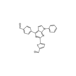 O=Cc1ccc(-c2nc(-c3ccc(C=O)s3)nc3c2ccn3-c2ccccc2)cc1